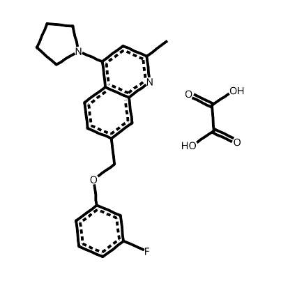 Cc1cc(N2CCCC2)c2ccc(COc3cccc(F)c3)cc2n1.O=C(O)C(=O)O